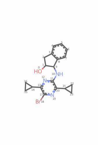 OC1Cc2ccccc2C1Nc1nc(C2CC2)c(Br)nc1C1CC1